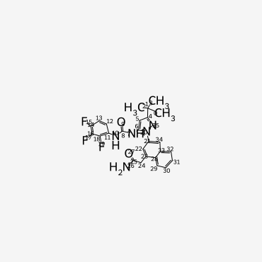 CC(C)(C)c1cc(NC(=O)Nc2ccc(F)c(F)c2F)n(-c2cc(CC(N)=O)c3ccccc3c2)n1